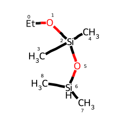 CCO[Si](C)(C)O[SiH](C)C